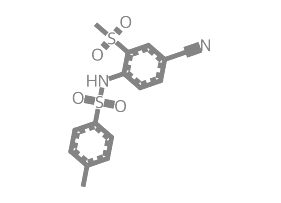 Cc1ccc(S(=O)(=O)Nc2ccc(C#N)cc2S(C)(=O)=O)cc1